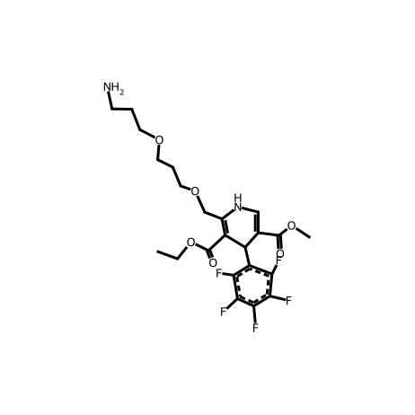 CCOC(=O)C1=C(COCCCOCCCN)NC=C(C(=O)OC)C1c1c(F)c(F)c(F)c(F)c1F